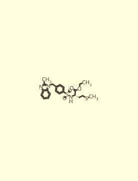 CCOC(=O)[C@H](CCSC)NS(=O)(=O)c1ccc(Cn2c(C)nc3ccccc32)cc1